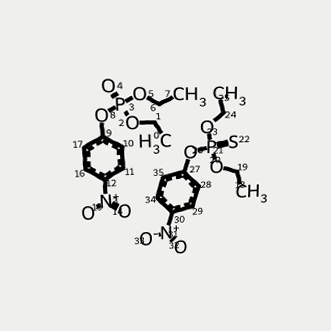 CCOP(=O)(OCC)Oc1ccc([N+](=O)[O-])cc1.CCOP(=S)(OCC)Oc1ccc([N+](=O)[O-])cc1